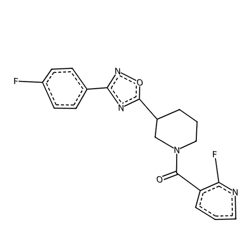 O=C(c1cccnc1F)N1CCCC(c2nc(-c3ccc(F)cc3)no2)C1